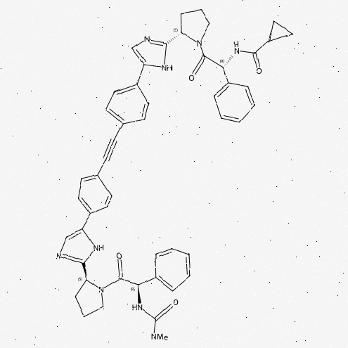 CNC(=O)N[C@@H](C(=O)N1CCC[C@H]1c1ncc(-c2ccc(C#Cc3ccc(-c4cnc([C@@H]5CCCN5C(=O)[C@H](NC(=O)C5CC5)c5ccccc5)[nH]4)cc3)cc2)[nH]1)c1ccccc1